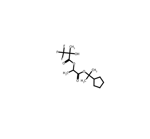 CC(OC(=O)C(C)(O)C(F)(F)F)C(=O)OC(C)(C)C1CCCC1